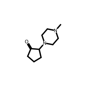 CN1CCN(C2CCCC2=O)CC1